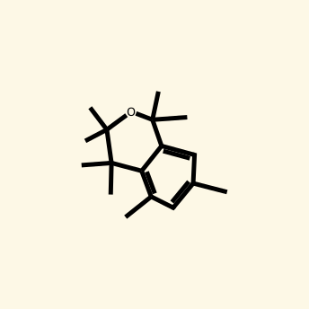 Cc1cc(C)c2c(c1)C(C)(C)OC(C)(C)C2(C)C